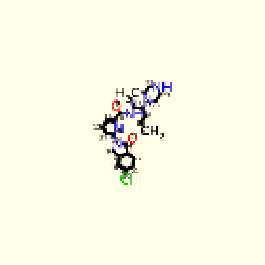 C=C/C=C(\C(=C/C)NC(=O)c1cccc(N2Cc3cc(Cl)ccc3C2=O)n1)N1CCNCC1